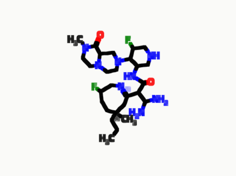 CCC[C@]1(C)CCC(F)C/N=C(/C(C(=O)NC2CNCC(F)C2N2CCN3CCN(C)C(=O)C3C2)C(N)N)C1